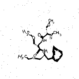 CCOC[C@H](Cc1ccccc1)NC(=O)[C@H](COC)NC(=O)[C@H](COC)NC